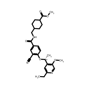 CCc1cc([C@@H](C)Oc2ccc(C(=O)NCC3CCC(C(=O)OC)CC3)cc2C#N)c(OC)cn1